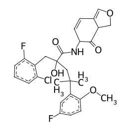 COc1ccc(F)cc1C(C)(C)CC(O)(Cc1c(F)cccc1Cl)C(=O)NC1C=CC2=COCC2C1=O